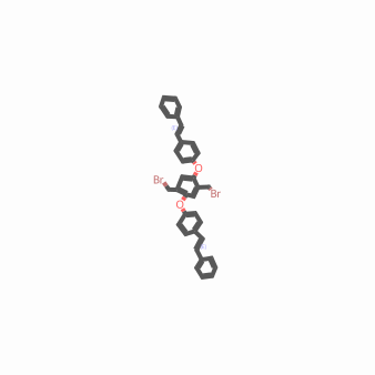 BrCc1cc(Oc2ccc(/C=C/c3ccccc3)cc2)c(CBr)cc1Oc1ccc(/C=C/c2ccccc2)cc1